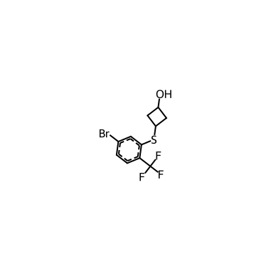 OC1CC(Sc2cc(Br)ccc2C(F)(F)F)C1